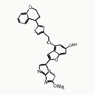 COc1cc(OCc2csc(C3CCOc4ccccc43)n2)c2cc(-c3cnc4nc(OC)sn34)oc2c1